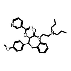 CCCN(CCC)CCN1C(=O)[C@H](OC(=O)c2cccnc2)[C@H](c2ccc(OC)cc2)Sc2ccccc21